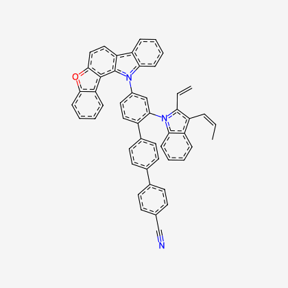 C=Cc1c(/C=C\C)c2ccccc2n1-c1cc(-n2c3ccccc3c3ccc4oc5ccccc5c4c32)ccc1-c1ccc(-c2ccc(C#N)cc2)cc1